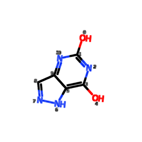 Oc1nc(O)c2[nH]ncc2n1